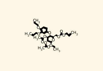 C=CCOC(=O)OC[C@H]1O[C@@H](OCC)[C@H](OC(C)=O)[C@@H](OC(C)=O)[C@@H]1Oc1ccc(OCC=C)c(OCC=C)c1